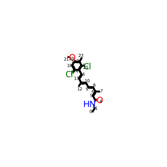 CCNC(=O)C=C(C)C=CC=C(C)C=Cc1c(Cl)cc(OC)c(C)c1Cl